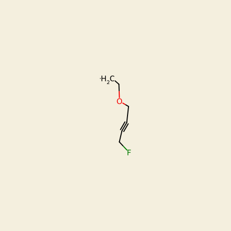 [CH2]COCC#CCF